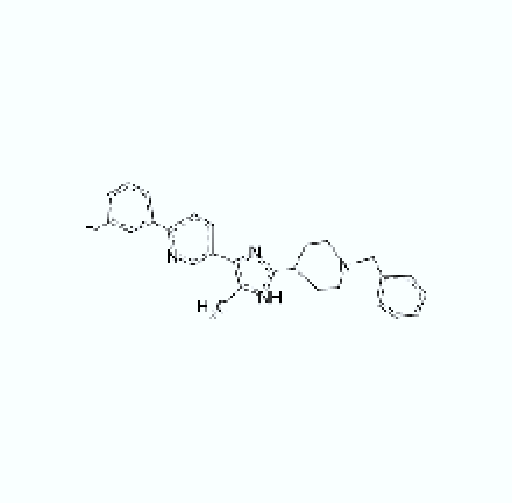 Cc1[nH]c(C2CCN(Cc3ccccc3)CC2)nc1-c1ccc(-c2cccc(F)c2)nc1